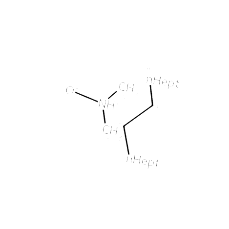 CCCCCCCCCCCCCCCC.C[NH+](C)[O-]